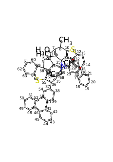 CC1C2=C3C(C)C4=C1C(C)c1sc5ccc(-c6ccccc6)cc5c1C4(C)N(c1ccccc1)c1cc(-c4ccc5c6ccccc6c6ccccc6c5c4)c4c(c1)C3(c1ccccc1S4)c1ccccc12